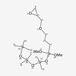 CO[Si](CCCOCC1CO1)(OC)O[Si](C)(C)O[Si](C)(C)O[Si](C)(C)C